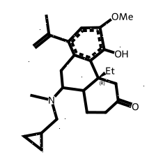 C=C(C)c1cc(OC)c(O)c2c1CC(N(C)CC1CC1)C1CCC(=O)C[C@@]21CC